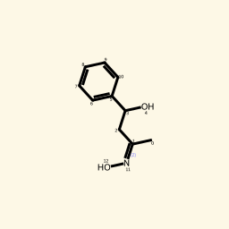 C/C(CC(O)c1ccccc1)=N/O